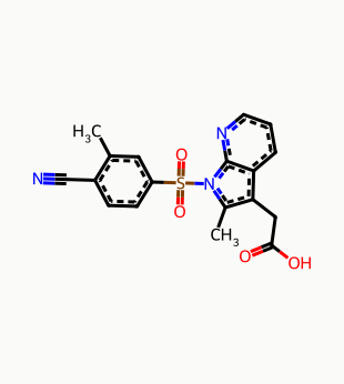 Cc1cc(S(=O)(=O)n2c(C)c(CC(=O)O)c3cccnc32)ccc1C#N